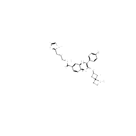 O=C(NCCCc1ncc[nH]1)c1ccc2nc(OC3CC4(CCN4)C3)c(-c3ccc(F)cc3)nc2c1